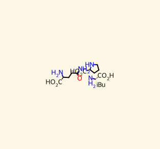 CC[C@H](C)[C@H](N)C(=O)O.NC(=O)CC[C@H](N)C(=O)O.O=C(O)[C@@H]1CCCN1